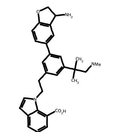 CNCC(C)(C)c1cc(CCn2ccc3cccc(C(=O)O)c32)cc(-c2ccc3c(c2)C(N)CO3)c1